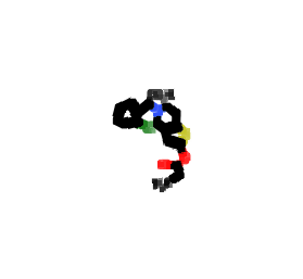 C=CC(=O)Oc1cc2c(s1)CCN([C@H](C(=O)O)c1ccccc1Cl)C2